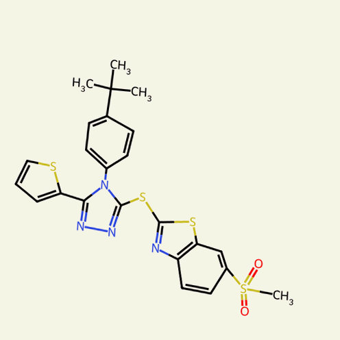 CC(C)(C)c1ccc(-n2c(Sc3nc4ccc(S(C)(=O)=O)cc4s3)nnc2-c2cccs2)cc1